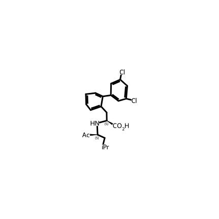 CC(=O)[C@H](CC(C)C)N[C@@H](Cc1ccccc1-c1cc(Cl)cc(Cl)c1)C(=O)O